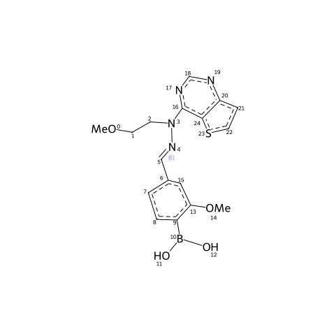 COCCN(/N=C/c1ccc(B(O)O)c(OC)c1)c1ncnc2ccsc12